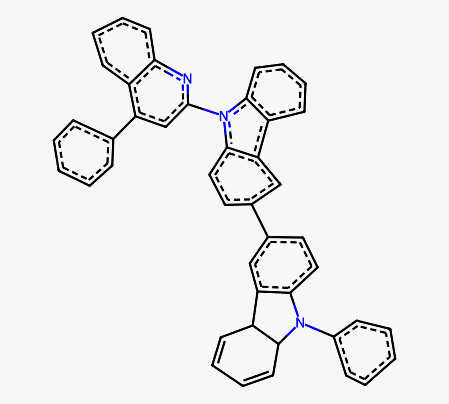 C1=CC2c3cc(-c4ccc5c(c4)c4ccccc4n5-c4cc(-c5ccccc5)c5ccccc5n4)ccc3N(c3ccccc3)C2C=C1